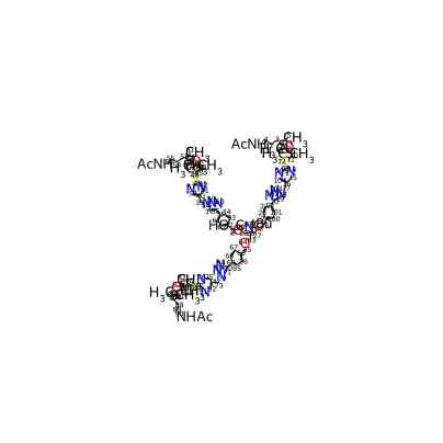 CC(=O)NCCC[Si](C)(C)O[Si](C)(C)CSc1ncc(Cn2cc(-c3ccc(COCC(COCc4ccc(-c5cn(Cc6cnc(SC[Si](C)(C)O[Si](C)(C)CCCNC(C)=O)nc6)nn5)cc4)(COCc4ccc(-c5cn(Cc6cnc(SC[Si](C)(C)O[Si](C)(C)CCCNC(C)=O)nc6)nn5)cc4)N(C(=O)O)C(C)(C)C)cc3)nn2)cn1